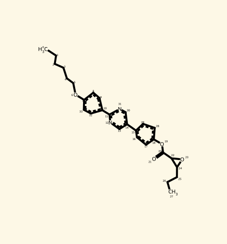 CCCCCCOc1ccc(-c2ncc(-c3ccc(OC(=O)C4OC4CCC)cc3)cn2)cc1